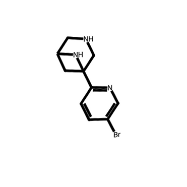 Brc1ccc(C23CNCC(C2)N3)nc1